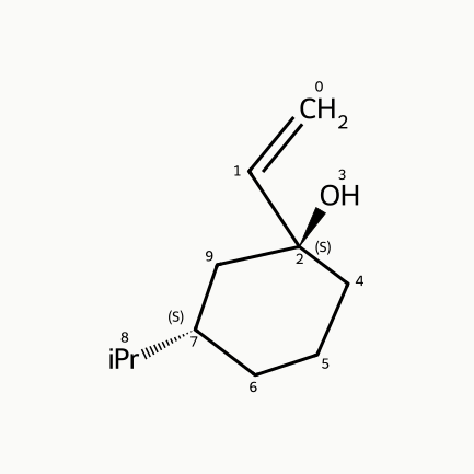 C=C[C@]1(O)CCC[C@H](C(C)C)C1